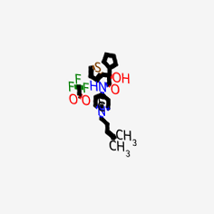 CC(C)=CCC[N+]12CCC(NC(=O)C(O)(c3cccs3)C3CCCC3)(CC1)CC2.O=C([O-])C(F)(F)F